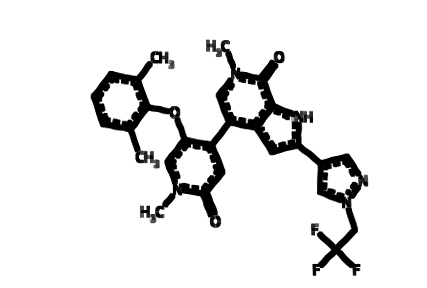 Cc1cccc(C)c1Oc1cn(C)c(=O)cc1-c1cn(C)c(=O)c2[nH]c(-c3cnn(CC(F)(F)F)c3)cc12